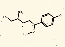 CO[C@@H](CCC(N)CO)c1ccc(Cl)cc1